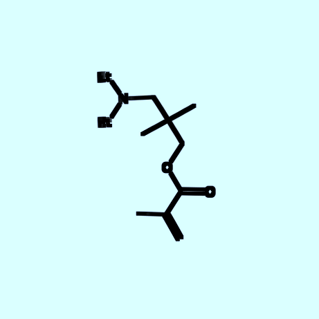 C=C(C)C(=O)OCC(C)(C)CN(CC)CC